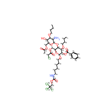 CCCCOC1C(N)C(OC2C(COC(=O)CCl)OC(OCCCCCCNC(=O)OCC(Cl)(Cl)Cl)C(OC(=O)c3ccccc3)C2OCCCC)OC(COC(C)=O)C1O